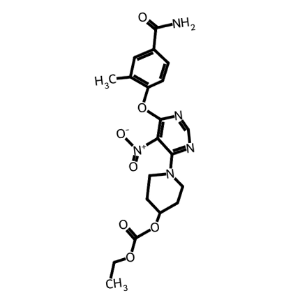 CCOC(=O)OC1CCN(c2ncnc(Oc3ccc(C(N)=O)cc3C)c2[N+](=O)[O-])CC1